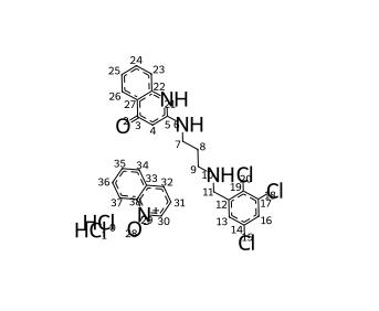 Cl.Cl.O=c1cc(NCCCNCc2cc(Cl)cc(Cl)c2Cl)[nH]c2ccccc12.[O-][n+]1cccc2ccccc21